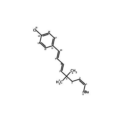 CCCC/C=C\CC(C)(C)/C=C/C=C/c1ccc(Cl)cc1